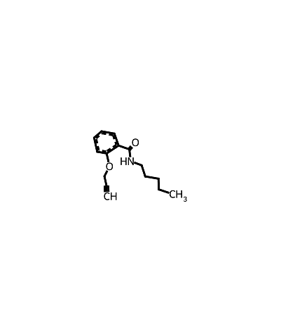 C#CCOc1ccccc1C(=O)NCCCCC